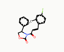 O=C(C=Cc1ccc(F)cc1C(F)(F)F)N1C(=O)OCC1c1ccccc1